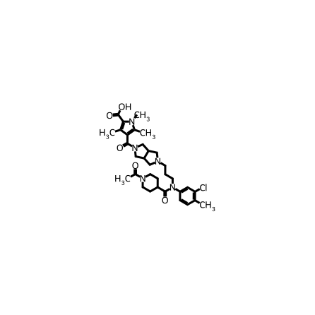 CC(=O)N1CCC(C(=O)N(CCCN2CC3CN(C(=O)c4c(C)c(C(=O)O)n(C)c4C)CC3C2)c2ccc(C)c(Cl)c2)CC1